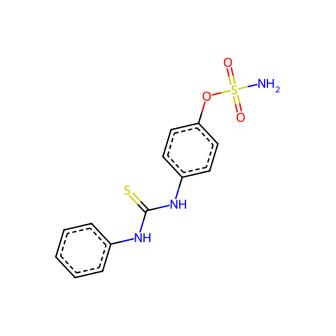 NS(=O)(=O)Oc1ccc(NC(=S)Nc2ccccc2)cc1